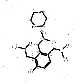 C1CNCCN1.CN(C)Cc1ccc(O)c(CN(C)C)c1CN(C)C